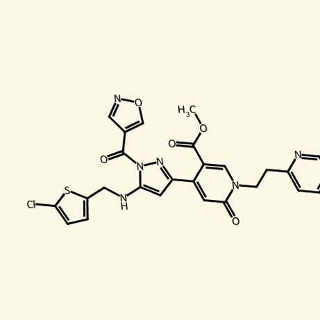 COC(=O)c1cn(CCc2ccccn2)c(=O)cc1-c1cc(NCc2ccc(Cl)s2)n(C(=O)c2cnoc2)n1